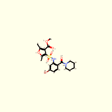 COC(=O)c1c(C)oc(C)c1S(=O)(=O)Nc1cc(Br)ccc1C(=O)N1CCCCC1